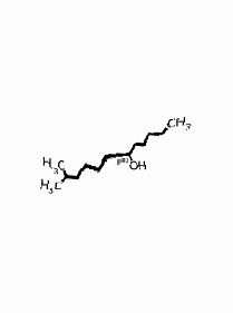 CCCCC[C@@H](O)CCCCC(C)C